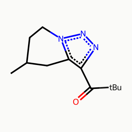 CC1CCn2nnc(C(=O)C(C)(C)C)c2C1